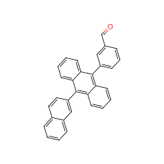 O=Cc1cccc(-c2c3ccccc3c(-c3ccc4ccccc4c3)c3ccccc23)c1